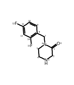 O=C1CNCCN1Cc1ccc(F)cc1F